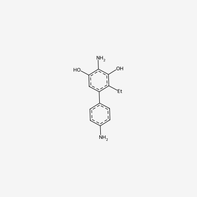 CCc1c(-c2ccc(N)cc2)cc(O)c(N)c1O